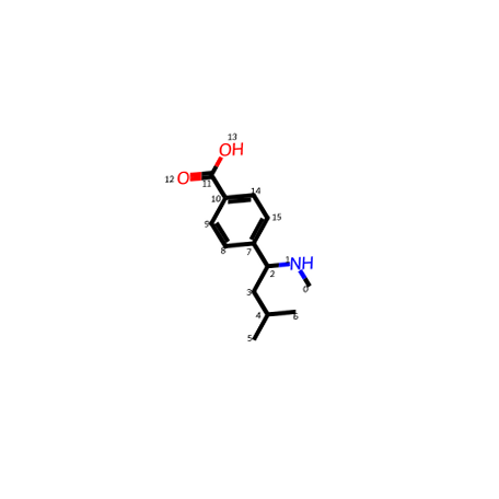 CNC(CC(C)C)c1ccc(C(=O)O)cc1